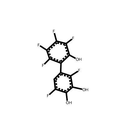 Oc1c(F)cc(-c2c(O)c(F)c(F)c(F)c2F)c(F)c1O